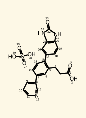 O=C(O)CCc1cc(-c2cccnc2)ccc1-c1ccc2[nH]c(=O)[nH]c2c1.O=S(=O)(O)O